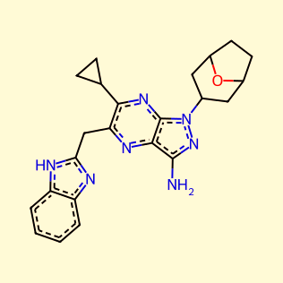 Nc1nn(C2CC3CCC(C2)O3)c2nc(C3CC3)c(Cc3nc4ccccc4[nH]3)nc12